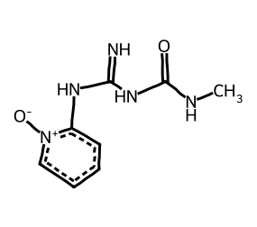 CNC(=O)NC(=N)Nc1cccc[n+]1[O-]